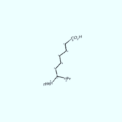 CCCCCCCC(CCC)CCCCCC(=O)O